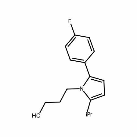 CC(C)c1ccc(-c2ccc(F)cc2)n1CCCO